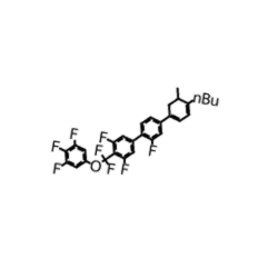 CCCCC1=CC=C(c2ccc(-c3cc(F)c(C(F)(F)Oc4cc(F)c(F)c(F)c4)c(F)c3)c(F)c2)CC1C